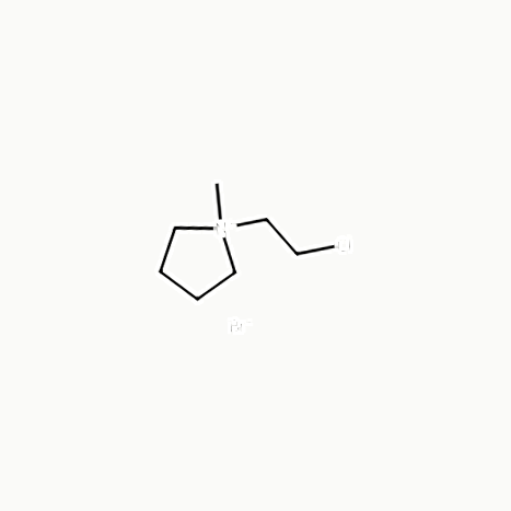 C[N+]1(CCCl)CCCC1.[Br-]